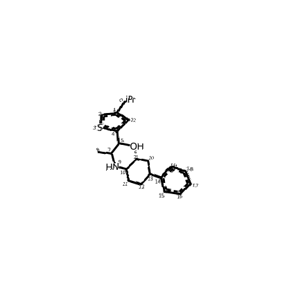 CC(C)c1csc(C(O)C(C)NC2CCC(c3ccccc3)CC2)c1